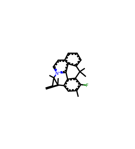 C=C1C2(C)c3cc(C)c(F)c4c3-c3c5c(cccc5cc[n+]3C12C)C4(C)C